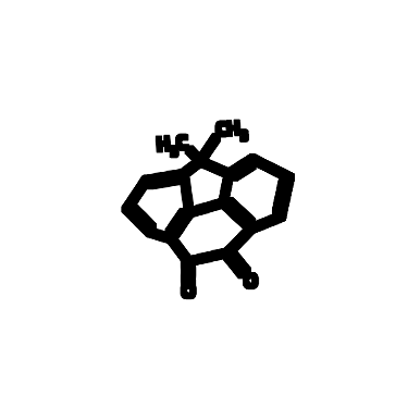 CC1(C)c2cccc3c2-c2c(cccc21)C(=O)C3=O